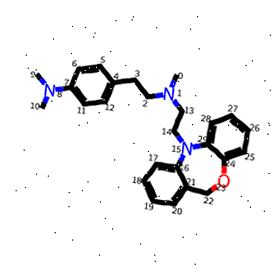 CN(CCc1ccc(N(C)C)cc1)CCN1c2ccccc2COc2ccccc21